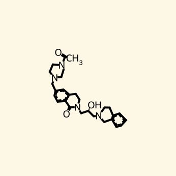 CC(=O)N1CCN(Cc2ccc3c(c2)CCN(C[C@H](O)CN2CCc4ccccc4C2)C3=O)CC1